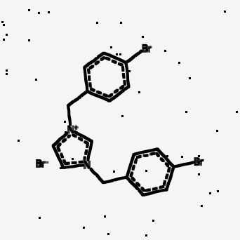 Brc1ccc(Cn2cc[n+](Cc3ccc(Br)cc3)c2)cc1.[Br-]